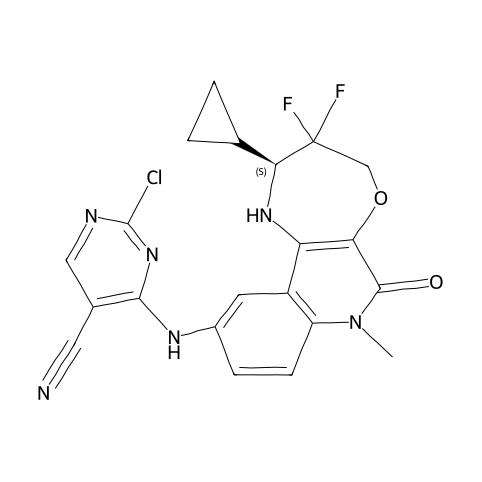 Cn1c(=O)c2c(c3cc(Nc4nc(Cl)ncc4C#N)ccc31)N[C@@H](C1CC1)C(F)(F)CO2